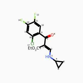 CCOC(=O)/C(=C\NC1CC1)C(=O)c1cc(F)c(F)cc1Cl